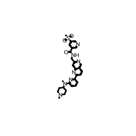 CN1CCC(N(C)c2cccc(-c3ccc4cnc(CNC(=O)c5cncc(S(C)(=O)=O)c5)cc4n3)n2)CC1